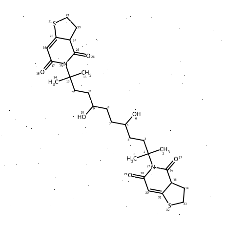 CC(C)(CCC(O)CCC(O)CCC(C)(C)N1C(=O)C=C2SCCC2C1=O)N1C(=O)C=C2SCCC2C1=O